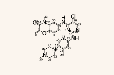 C=C1Oc2ccc(Nc3nc(Nc4ccc(N5CCN(C)CC5)c(C)c4)ncc3Cl)cc2N(C)C1=O